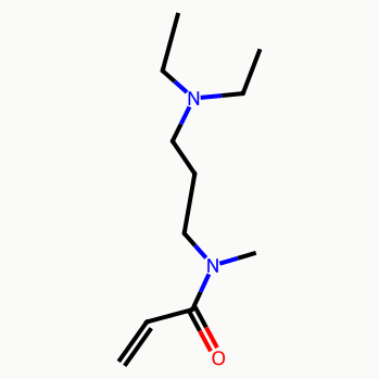 C=CC(=O)N(C)CCCN(CC)CC